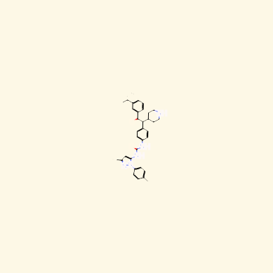 Cc1ccc(-n2nc(C(C)(C)C)cc2NC(=O)Nc2ccc(C(C(=O)c3cccc([C@@H](C)C#N)c3)C3CCNCC3)cc2)cc1